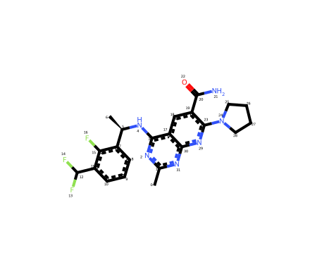 Cc1nc(N[C@H](C)c2cccc(C(F)F)c2F)c2cc(C(N)=O)c(N3CCCC3)nc2n1